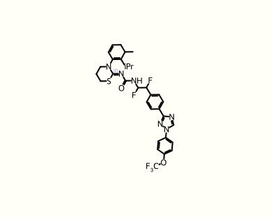 CC(C)C1=C(N2CCCS/C2=N\C(=O)NC(F)C(F)c2ccc(-c3ncn(-c4ccc(OC(F)(F)F)cc4)n3)cc2)C=CCC1C